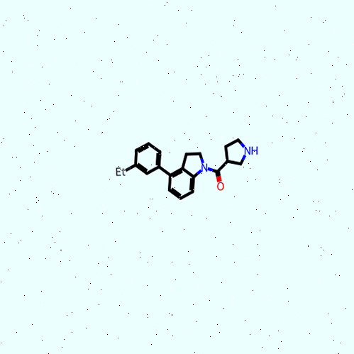 CCc1cccc(-c2cccc3c2CCN3C(=O)C2CCNC2)c1